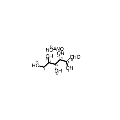 O=C[C@H](O)[C@@H](O)[C@H](O)[C@H](O)CO.O=NO